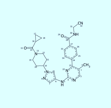 Cc1cnc(Nc2cnn(C3CCN(C(=O)C4CC4)CC3)c2)nc1-c1ccc(C(=O)NCC#N)cc1